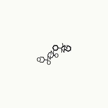 Cc1c(-c2cccc(N3CCN(C(=O)C4CCOCC4)CC3=O)c2)nc2ccccn12